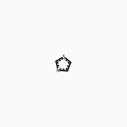 [c]1[c]s[c]n1